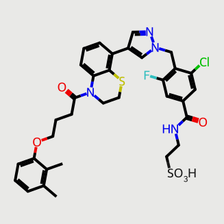 Cc1cccc(OCCCC(=O)N2CCSc3c(-c4cnn(Cc5c(F)cc(C(=O)NCCS(=O)(=O)O)cc5Cl)c4)cccc32)c1C